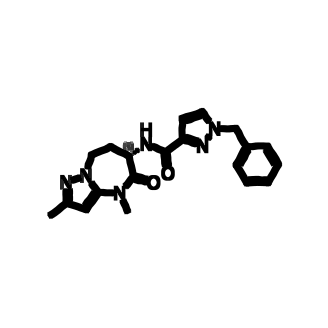 Cc1cc2n(n1)CC[C@H](NC(=O)c1ccn(Cc3ccccc3)n1)C(=O)N2C